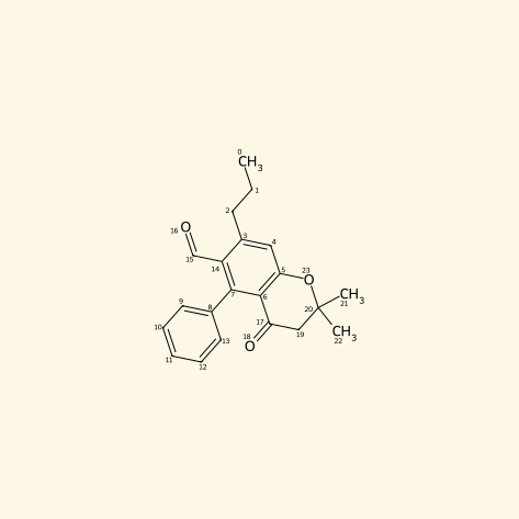 CCCc1cc2c(c(-c3ccccc3)c1C=O)C(=O)CC(C)(C)O2